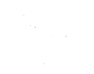 CCNC(=S)N/N=C(C)/C(CCC12CC3CC(CC(C3)C1)C2)=N/NC(=S)NCC